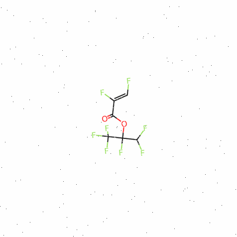 O=C(OC(F)(C(F)F)C(F)(F)F)C(F)=CF